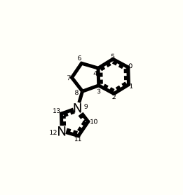 c1ccc2c(c1)CCC2n1ccnc1